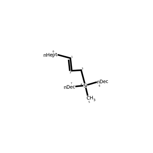 CCCCCCCC=CC[Si](C)(CCCCCCCCCC)CCCCCCCCCC